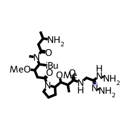 CCC(C)C(C(CC(=O)N1CCCC1C(OC)C(C)C(=O)NC/C(=N/N)NN)OC)N(C)C(=O)CC(C)N